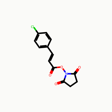 O=C(C=Cc1ccc(Cl)cc1)ON1C(=O)CCC1=O